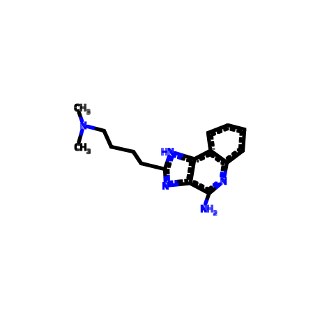 CN(C)CCCCc1nc2c(N)nc3ccccc3c2[nH]1